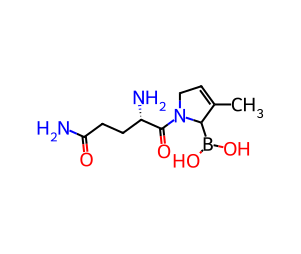 CC1=CCN(C(=O)[C@@H](N)CCC(N)=O)C1B(O)O